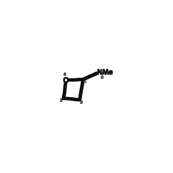 CNC1CCO1